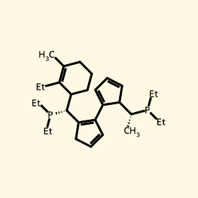 CCC1=C(C)CCCC1[C@H](C1=C(C2=CC=CC2[C@@H](C)P(CC)CC)C=CC1)P(CC)CC